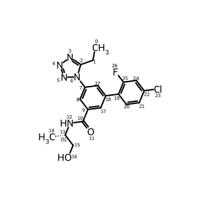 CCc1nnnn1-c1cc(C(=O)N[C@@H](C)CO)cc(-c2ccc(Cl)cc2F)c1